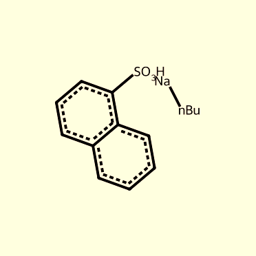 CCC[CH2][Na].O=S(=O)(O)c1cccc2ccccc12